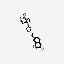 Clc1cnc2cc(/C=C/[C@@H]3CC[C@H](n4ccc5c(Cl)ncnc54)C3)ccc2c1